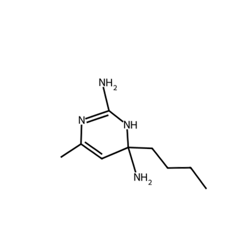 CCCCC1(N)C=C(C)N=C(N)N1